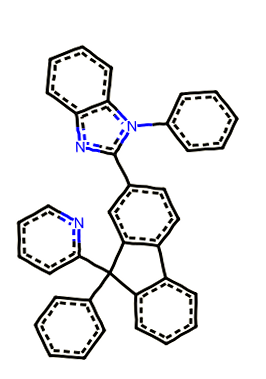 c1ccc(-n2c(-c3ccc4c(c3)C(c3ccccc3)(c3ccccn3)c3ccccc3-4)nc3ccccc32)cc1